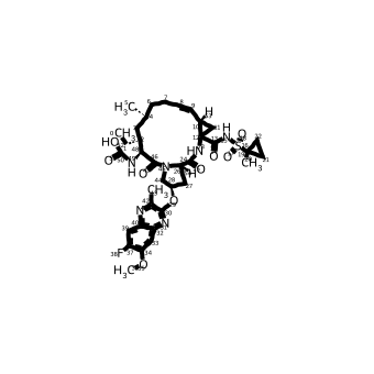 CC[C@@H]1C[C@H](C)CC/C=C\[C@@H]2CC2(C(=O)NS(=O)(=O)C2(C)CC2)NC(=O)[C@@H]2C[C@@H](Oc3nc4cc(OC)c(F)cc4nc3C)CN2C(=O)[C@H]1NC(=O)O